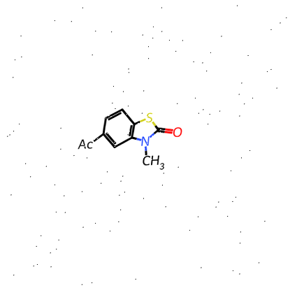 CC(=O)c1ccc2sc(=O)n(C)c2c1